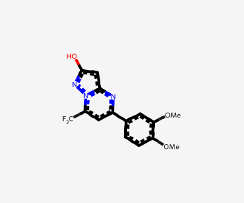 COc1ccc(-c2cc(C(F)(F)F)n3nc(O)cc3n2)cc1OC